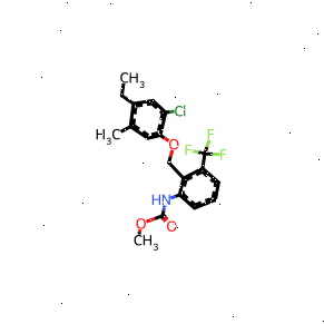 CCc1cc(Cl)c(OCc2c(NC(=O)OC)cccc2C(F)(F)F)cc1C